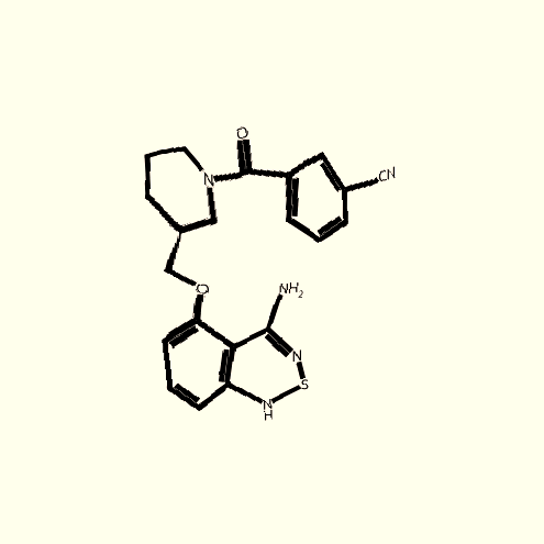 N#Cc1cccc(C(=O)N2CCC[C@H](COc3cccc4c3C(N)=NSN4)C2)c1